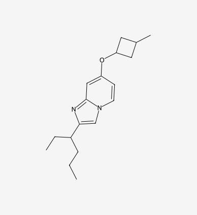 CCCC(CC)c1cn2ccc(OC3CC(C)C3)cc2n1